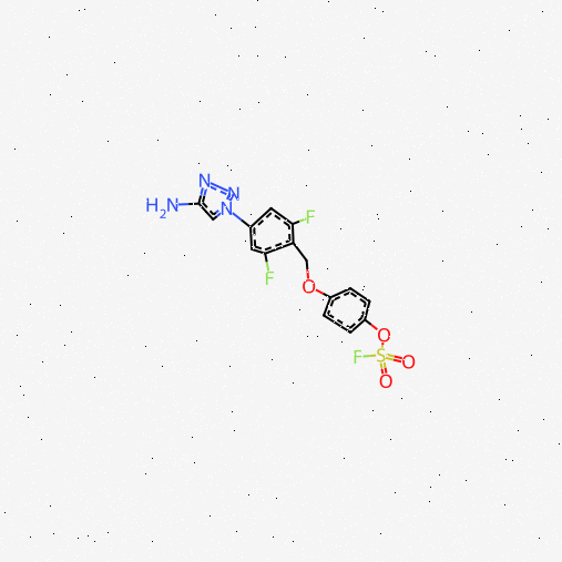 Nc1cn(-c2cc(F)c(COc3ccc(OS(=O)(=O)F)cc3)c(F)c2)nn1